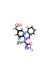 CC(C)[C@H](C(N)=O)N(CC1CCCCC1)c1ncc(CO)cc1F